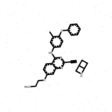 C#Cc1nc(Nc2ccc(Oc3ccccc3)c(C)c2)c2ccc(OCCOC)cc2n1.C1CC2NCC12